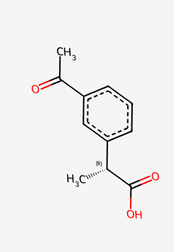 CC(=O)c1cccc([C@@H](C)C(=O)O)c1